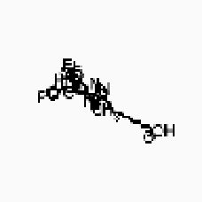 C[C@H](Oc1cc(-c2nn(C)c3c(C#CCCCCCCCCC(=O)O)cnc(N)c23)ccc1NS(=O)(=O)C(F)F)c1ccc(F)cc1